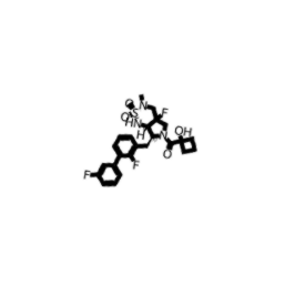 CN1CC2(F)CN(C(=O)C3(O)CCC3)[C@@H](Cc3cccc(-c4cccc(F)c4)c3F)[C@H]2NS1(=O)=O